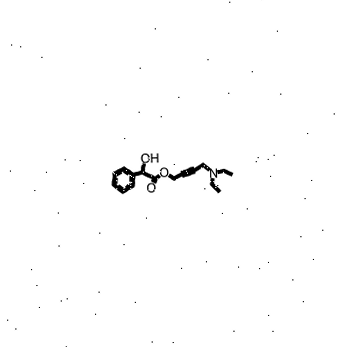 CCN(CC)CC#CCOC(=O)C(O)c1ccccc1